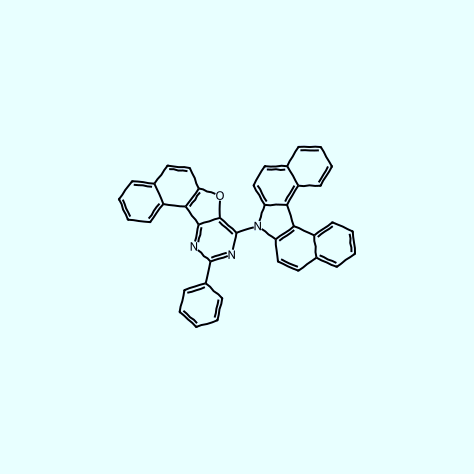 c1ccc(-c2nc(-n3c4ccc5ccccc5c4c4c5ccccc5ccc43)c3oc4ccc5ccccc5c4c3n2)cc1